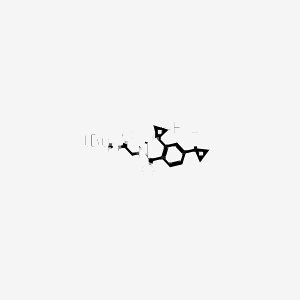 CC(C)(C)OC(=O)CN1C[C@@]2(C[C@@H]2F)c2cc(C3(F)CC3)ccc2C1=O